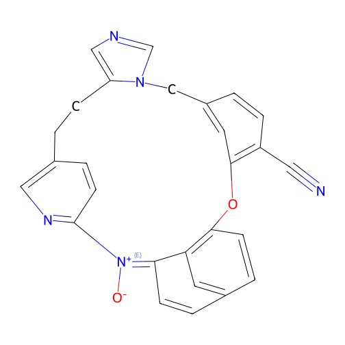 N#Cc1ccc2cc1Oc1ccc3cc/c(c1c3)=[N+](\[O-])c1ccc(cn1)CCc1cncn1C2